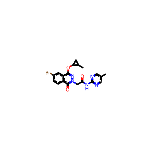 Cc1cnc(NC(=O)Cn2nc(OC3CC3C)c3cc(Br)ccc3c2=O)nc1